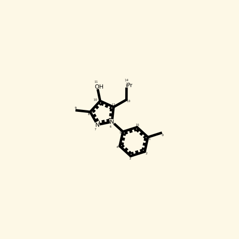 Cc1cccc(-n2nc(C)c(O)c2CC(C)C)c1